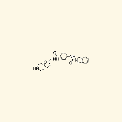 O=C(NCC1CCC2(CCNCC2)O1)c1ccc(NC(=O)N2Cc3ccccc3C2)cc1